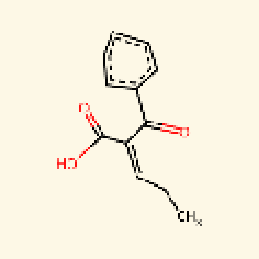 CC/C=C(/C(=O)O)C(=O)c1ccccc1